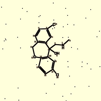 CNCC1(O)c2cc(Cl)ccc2COc2ccc(Cl)cc21